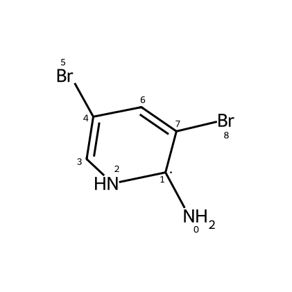 N[C]1NC=C(Br)C=C1Br